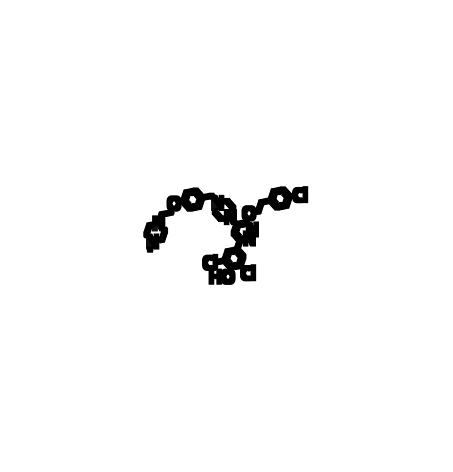 CN1CCN(CCOc2ccc(CN3CCN(c4cc(-c5cc(Cl)c(O)c(Cl)c5)nnc4OCCc4ccc(Cl)cc4)CC3)cc2)CC1